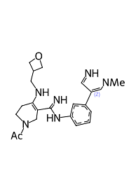 CN/C=C(\C=N)c1cccc(NC(=N)C2=C(NCC3COC3)CCN(C(C)=O)C2)c1